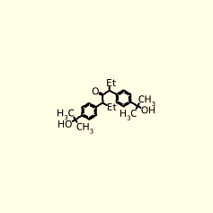 CCC(C(=O)C(CC)c1ccc(C(C)(C)O)cc1)c1ccc(C(C)(C)O)cc1